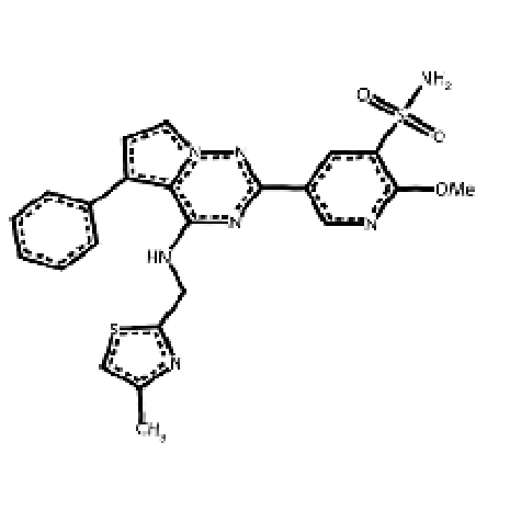 COc1ncc(-c2nc(NCc3nc(C)cs3)c3c(-c4ccccc4)ccn3n2)cc1S(N)(=O)=O